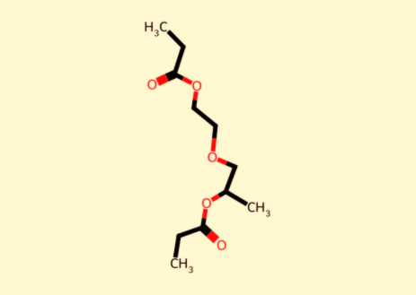 CCC(=O)OCCOCC(C)OC(=O)CC